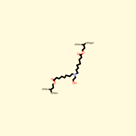 CCCCCCCC(CCCCCC)CCOC(=O)CCCCCCCN(CCO)CCCCCCCC(=O)OCCC(CCCCCC)CCCCCC